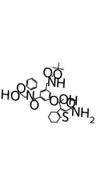 CC(C)(C)OC(=O)NCc1cccc(C(=O)N(CC(=O)O)c2ccccc2)c1.NC(=O)c1sc2c(c1C(=O)O)CCCC2